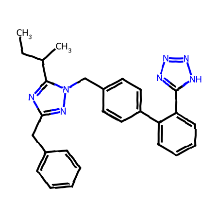 CCC(C)c1nc(Cc2ccccc2)nn1Cc1ccc(-c2ccccc2-c2nnn[nH]2)cc1